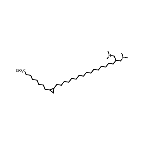 CCOC(=O)CCCCCCCC1CC1CCCCCCCCCCCCCCCCC(CN(C)C)CN(C)C